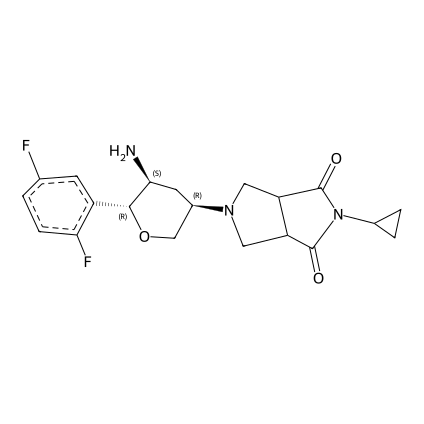 N[C@H]1C[C@@H](N2CC3C(=O)N(C4CC4)C(=O)C3C2)CO[C@@H]1c1cc(F)ccc1F